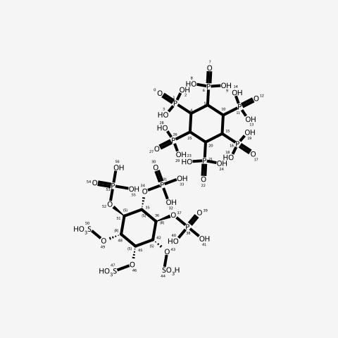 O=P(O)(O)C1C(P(=O)(O)O)C(P(=O)(O)O)C(P(=O)(O)O)C(P(=O)(O)O)C1P(=O)(O)O.O=P(O)(O)O[C@@H]1[C@@H](OP(=O)(O)O)[C@H](OS(=O)(=O)O)[C@H](OS(=O)(=O)O)[C@H](OS(=O)(=O)O)[C@H]1OP(=O)(O)O